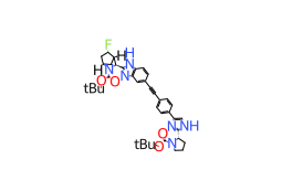 CC(C)(C)OC(=O)N1CCC[C@H]1c1nc(-c2ccc(C#Cc3ccc4[nH]c([C@@H]5[C@@H]6C[C@@H](C[C@@H]6F)N5C(=O)OC(C)(C)C)nc4c3)cc2)c[nH]1